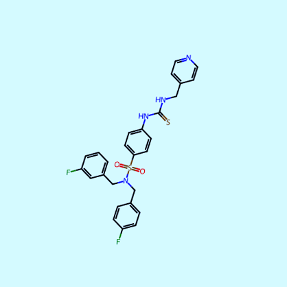 O=S(=O)(c1ccc(NC(=S)NCc2ccncc2)cc1)N(Cc1ccc(F)cc1)Cc1cccc(F)c1